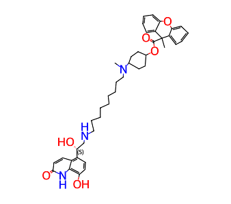 CN(CCCCCCCCCNC[C@@H](O)c1ccc(O)c2[nH]c(=O)ccc12)C1CCC(OC(=O)C2(C)c3ccccc3Oc3ccccc32)CC1